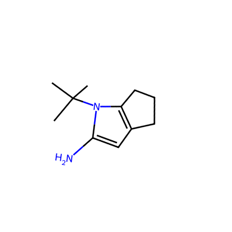 CC(C)(C)n1c(N)cc2c1CCC2